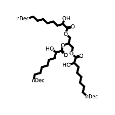 CCCCCCCCCCCCCCCCC(O)C(=O)OCC(COC(=O)C(O)CCCCCCCCCCCCCCCC)OC(=O)C(O)CCCCCCCCCCCCCCCC